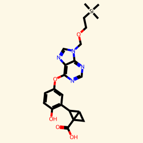 C[Si](C)(C)CCOCn1cnc2c(Oc3ccc(O)c(C4C5CC54C(=O)O)c3)ncnc21